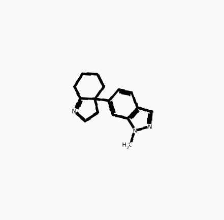 Cn1ncc2ccc(C34CCCCC3=NCC4)cc21